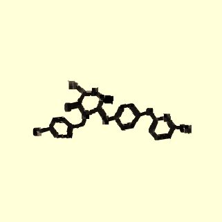 CCc1n[nH]/c(=N\c2ccc(Oc3cccc(C#N)n3)cc2)n(Cc2ccc(Cl)cc2)c1=O